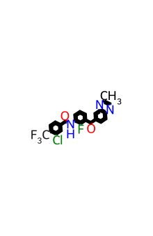 Cc1cnc2ccc(C(=O)c3cccc(NC(=O)c4ccc(C(F)(F)F)c(Cl)c4)c3F)cc2n1